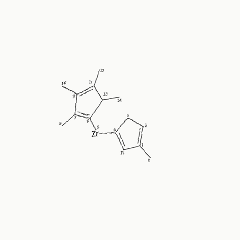 CC1=CC[C]([Zr][C]2=C(C)C(C)=C(C)C2C)=C1